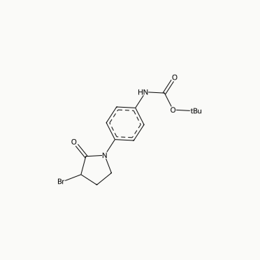 CC(C)(C)OC(=O)Nc1ccc(N2CCC(Br)C2=O)cc1